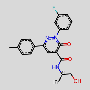 Cc1ccc(-c2cc(C(=O)N[C@@H](CO)C(C)C)c(=O)n(-c3cccc(F)c3)n2)cc1